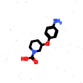 Nc1ccc(OC2CCCN(C(=O)O)C2)cc1